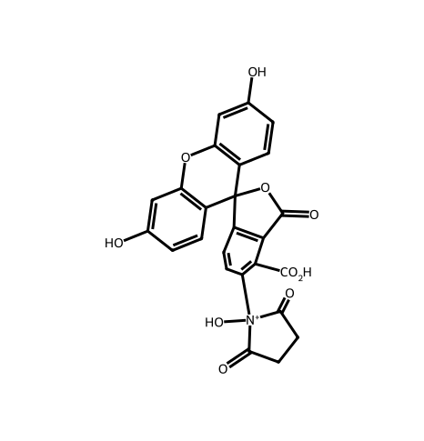 O=C1OC2(c3ccc(O)cc3Oc3cc(O)ccc32)c2ccc([N+]3(O)C(=O)CCC3=O)c(C(=O)O)c21